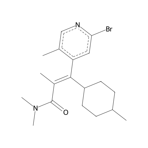 C/C(C(=O)N(C)C)=C(\c1cc(Br)ncc1C)C1CCC(C)CC1